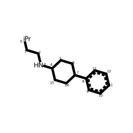 CC(C)CCNC1CCC(c2ccccc2)CC1